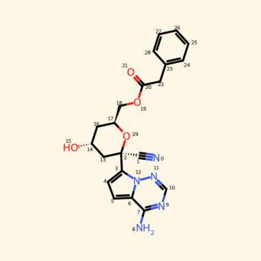 N#C[C@]1(c2ccc3c(N)ncnn23)C[C@H](O)C[C@@H](COC(=O)Cc2ccccc2)O1